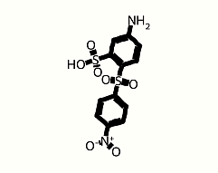 Nc1ccc(S(=O)(=O)c2ccc([N+](=O)[O-])cc2)c(S(=O)(=O)O)c1